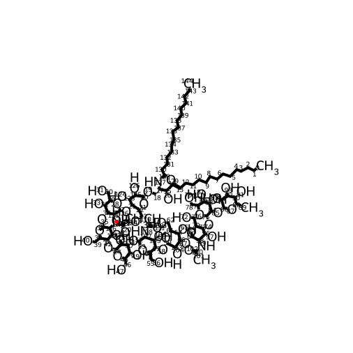 CCCCCCCCCCCCC/C=C/[C@@H](O)[C@H](CO[C@@H]1OC(CO)[C@@H](O[C@@H]2OC(CO)[C@H](O)[C@H](O[C@@H]3OC(CO)[C@@H](O[C@@H]4OC(CO)[C@H](O)[C@H](O[C@@H]5OC(CO)[C@@H](O[C@@H]6OC(CO)[C@H](O)[C@H](O[C@@H]7OC(CO)[C@@H](O[C@@H]8OC(CO)[C@H](O)[C@H](O)C8O[C@H]8OC(C)[C@@H](O)C(O)[C@@H]8O)[C@H](O)C7NC(C)=O)C6O)[C@H](O)C5NC(C)=O)C4O)[C@H](O)C3NC(C)=O)C2O)[C@H](O)C1O)NC(=O)CCCCCCCCCCCCCCC